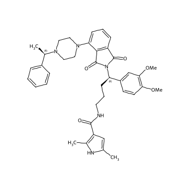 COc1ccc([C@@H](CCCNC(=O)c2cc(C)[nH]c2C)N2C(=O)c3cccc(N4CCN([C@H](C)c5ccccc5)CC4)c3C2=O)cc1OC